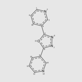 c1cncc(-c2nnc(-c3cccnc3)o2)c1